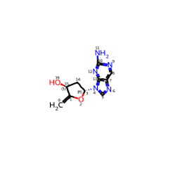 C=C1O[C@@H](n2cnc3cnc(N)nc32)C[C@@H]1O